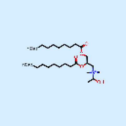 CCCCCCCCCCCCCCCCCC(=O)OCC(C[N+](C)(C)C(C)O)OC(=O)CCCCCCCCCCCCCCCCC